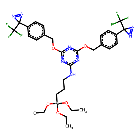 CCO[Si](CCCNc1nc(OCc2ccc(C3(C(F)(F)F)N=N3)cc2)nc(OCc2ccc(C3(C(F)(F)F)N=N3)cc2)n1)(OCC)OCC